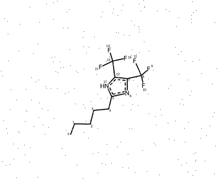 CCCCCc1nc(C(F)(F)F)c(C(F)(F)F)[nH]1